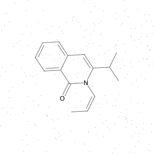 C/C=C\n1c(C(C)C)cc2ccccc2c1=O